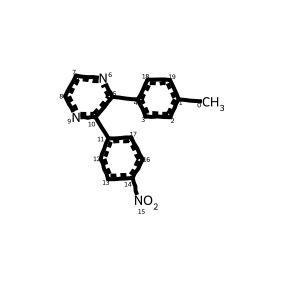 Cc1ccc(-c2nccnc2-c2ccc([N+](=O)[O-])cc2)cc1